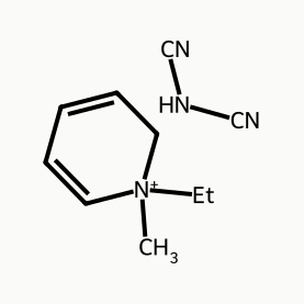 CC[N+]1(C)C=CC=CC1.N#CNC#N